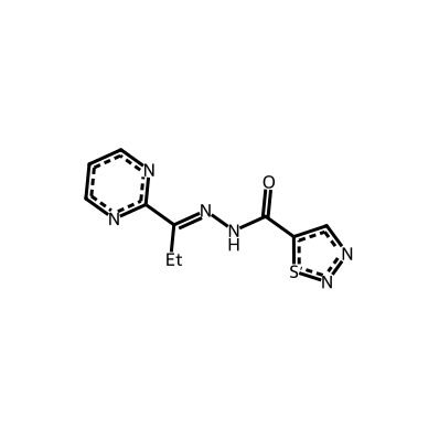 CCC(=NNC(=O)c1cnns1)c1ncccn1